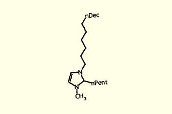 CCCCCCCCCCCCCCCCN1C=CN(C)C1CCCCC